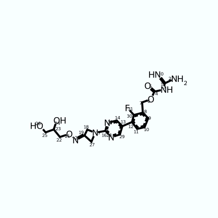 N=C(N)NC(=O)OCc1cccc(-c2cnc(N3CC(=NOCC(O)CO)C3)nc2)c1F